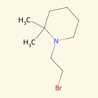 CC1(C)CCCCN1CCBr